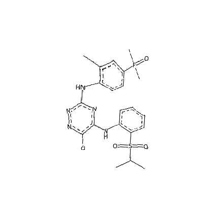 Cc1cc(P(C)(C)=O)ccc1Nc1nnc(Cl)c(Nc2ccccc2S(=O)(=O)C(C)C)n1